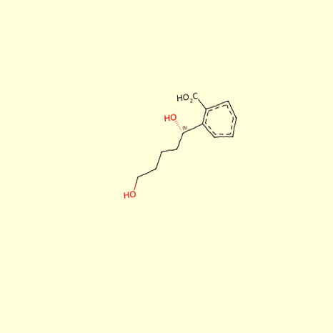 O=C(O)c1ccccc1[C@@H](O)CCCCO